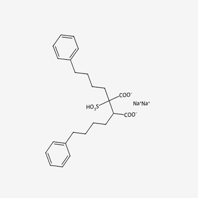 O=C([O-])C(CCCCc1ccccc1)C(CCCCc1ccccc1)(C(=O)[O-])S(=O)(=O)O.[Na+].[Na+]